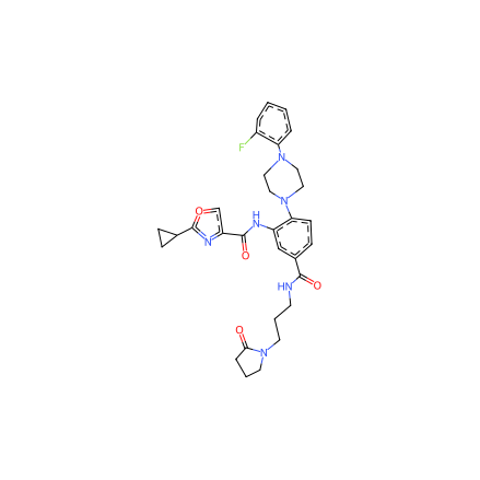 O=C(NCCCN1CCCC1=O)c1ccc(N2CCN(c3ccccc3F)CC2)c(NC(=O)c2coc(C3CC3)n2)c1